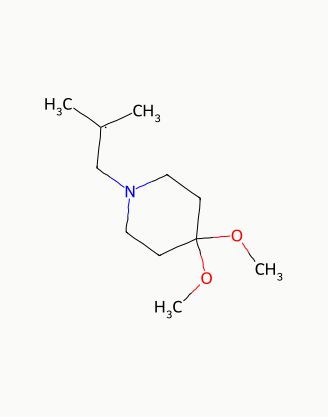 COC1(OC)CCN(C[C](C)C)CC1